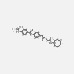 N=C(N)Nc1ccc(C(=O)Oc2ccc(CC(=O)OCC(=O)NC3CCCCCCC3)cc2)cc1